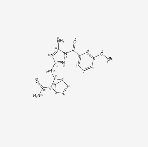 CC(C)(C)Oc1cccc(C(=O)n2nc(NC3C4C=CC(C4)C3C(N)=O)nc2N)c1